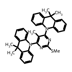 CSc1nc(N2c3ccccc3C(C)(C)c3ccccc32)c(C)c(N2c3ccccc3C(C)(C)c3ccccc32)n1